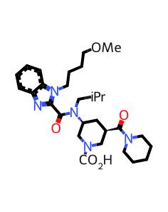 COCCCCn1c(C(=O)N(CC(C)C)[C@H]2C[C@@H](C(=O)N3CCCCC3)CN(C(=O)O)C2)nc2ccccc21